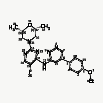 CCOc1ccc(-c2cnnc(Nc3nc(N4C[C@@H](C)O[C@@H](C)C4)ncc3F)c2)cc1